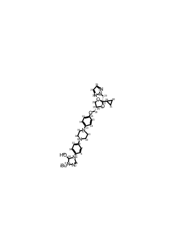 CCC(C)N1N=CN(c2ccc(N3CCN(c4ccc(OC[C@@H]5CO[C@@](Cn6nccn6)(C6CC6)O5)cc4)CC3)cc2)C1O